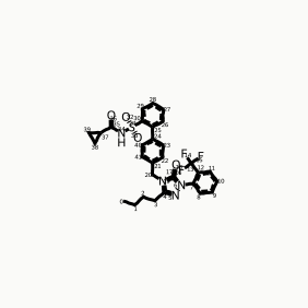 CCCCc1nn(-c2ccccc2C(F)(F)F)c(=O)n1Cc1ccc(-c2ccccc2S(=O)(=O)NC(=O)C2CC2)cc1